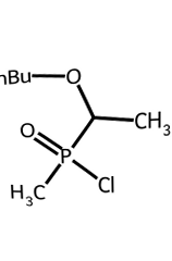 CCCCOC(C)P(C)(=O)Cl